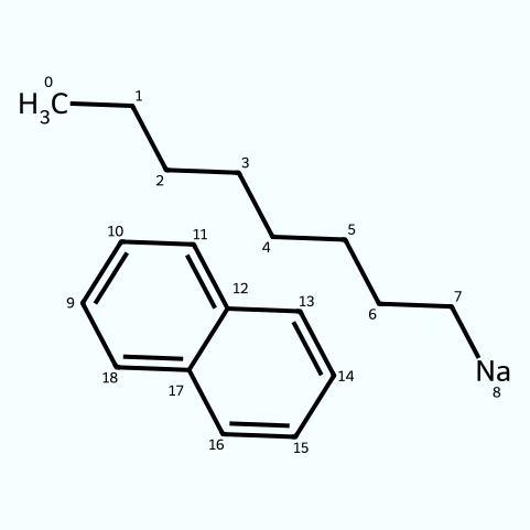 CCCCCCC[CH2][Na].c1ccc2ccccc2c1